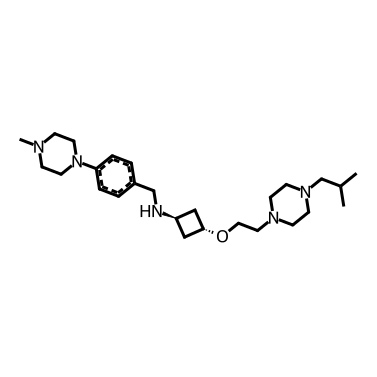 CC(C)CN1CCN(CCO[C@H]2C[C@H](NCc3ccc(N4CCN(C)CC4)cc3)C2)CC1